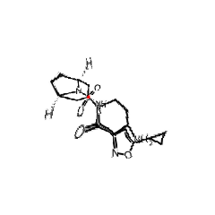 NC1CCN(S(=O)(=O)N2[C@@H]3CC[C@H]2C[C@H](NC(=O)c2cc(C4CC4)on2)C3)CC1